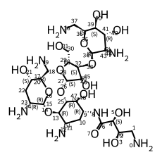 NC[C@@H](O)[C@H](O)C(=O)N[C@@H]1C[C@H](N)[C@@H](O[C@H]2O[C@H](CN)[C@@H](O)C[C@H]2N)[C@H](O[C@@H]2O[C@H](CO)[C@@H](O[C@H]3O[C@@H](CN)[C@@H](O)[C@H](O)[C@H]3N)[C@H]2O)[C@H]1O